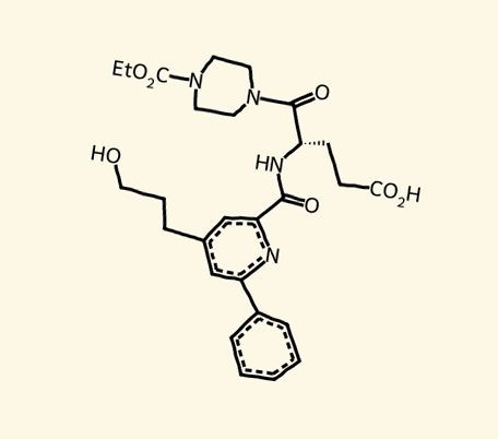 CCOC(=O)N1CCN(C(=O)[C@H](CCC(=O)O)NC(=O)c2cc(CCCO)cc(-c3ccccc3)n2)CC1